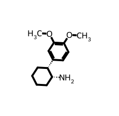 COc1ccc([C@H]2CCCC[C@H]2N)cc1OC